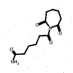 NC(=O)CCCCC(=O)N1C(=O)CCCCC1=O